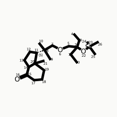 CCC(CC)(COCC(C)(C)[C@H]1CCC2C(=O)CCCC21C)O[Si](C)(C)C